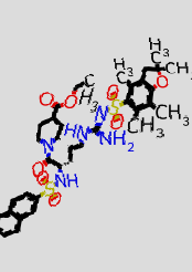 CCOC(=O)C1CCN(C(=O)[C@H](CCCN/C(N)=N/S(=O)(=O)c2c(C)c(C)c3c(c2C)CC(C)(C)O3)NS(=O)(=O)c2ccc3ccccc3c2)CC1